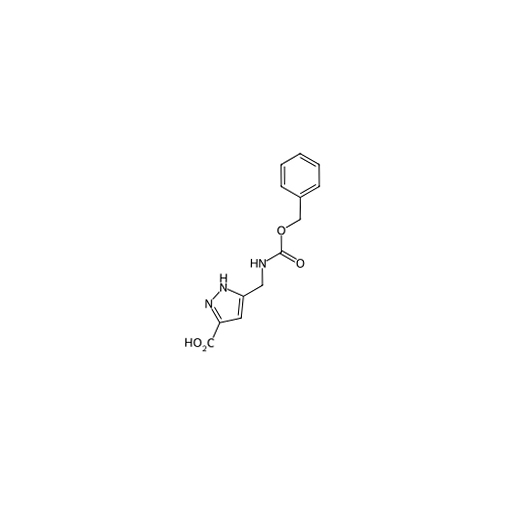 O=C(NCc1cc(C(=O)O)n[nH]1)OCc1ccccc1